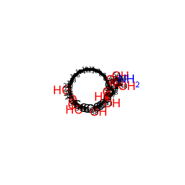 CC1OC(O[C@H]2/C=C/C=C/C=C/C=C/C=C/C=C/C=C/[C@H](C)[C@@H](O)[C@@H](C)[C@H](C)OC(=O)C[C@H](O)CCC[C@H](O)CCC[C@H](O)C[C@]3(O)CCCC(C2)O3)C(O)C(N)C1O